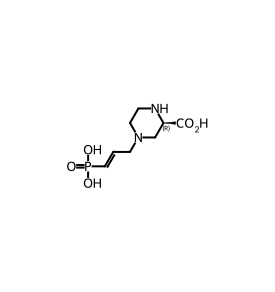 O=C(O)[C@H]1CN(CC=CP(=O)(O)O)CCN1